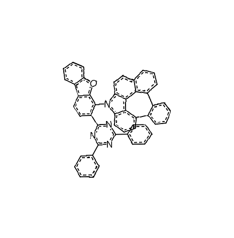 c1ccc(-c2nc(-c3ccccc3)nc(-c3ccc4c(oc5ccccc54)c3-n3c4cccc5c4c4c6c(cccc6ccc43)-c3ccccc3-5)n2)cc1